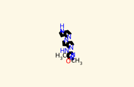 Cc1c(Nc2nccc3c2ccn3-c2nccc3[nH]ccc23)cnn(C)c1=O